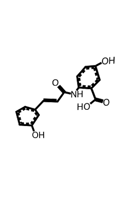 O=C(/C=C/c1cccc(O)c1)Nc1ccc(O)cc1C(=O)O